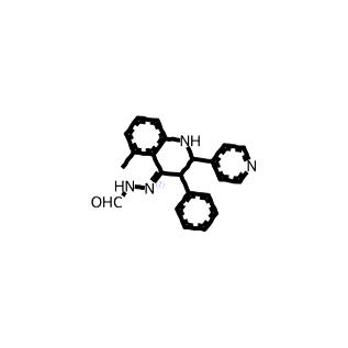 Cc1cccc2c1/C(=N\NC=O)C(c1ccccc1)C(c1ccncc1)N2